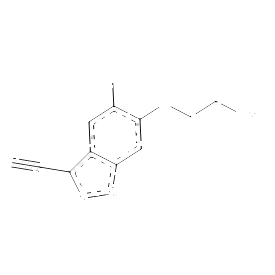 C#Cc1n[nH]c2cc(OCCOC)c(Cl)cc12